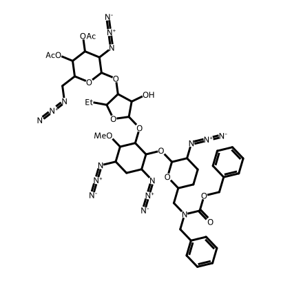 CCC1OC(OC2C(OC)C(N=[N+]=[N-])CC(N=[N+]=[N-])C2OC2OC(CN(Cc3ccccc3)C(=O)OCc3ccccc3)CCC2N=[N+]=[N-])C(O)C1OC1OC(CN=[N+]=[N-])C(OC(C)=O)C(OC(C)=O)C1N=[N+]=[N-]